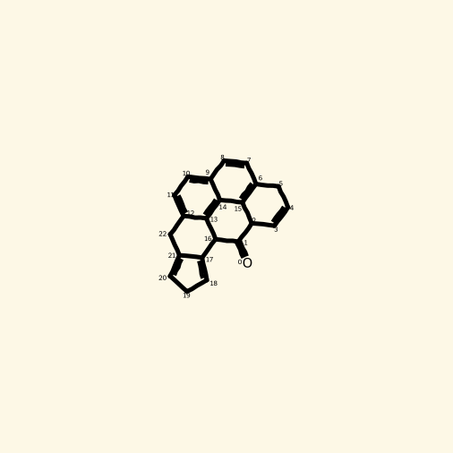 O=C1C2C=CCc3ccc4ccc5c(c4c32)C1C1=CCC=C1C5